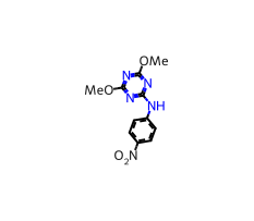 COc1nc(Nc2ccc([N+](=O)[O-])cc2)nc(OC)n1